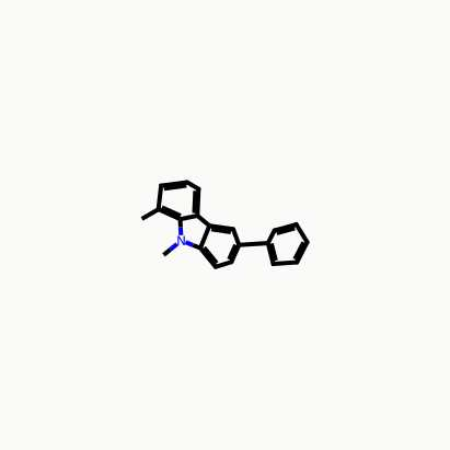 Cc1cccc2c3cc(-c4ccccc4)ccc3n(C)c12